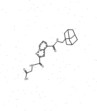 O=C(O)CNC(=O)c1cc2c(C(=O)NCC34CC5CC(CC(C5)C3)C4)cccn2n1